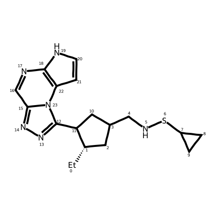 CC[C@H]1CC(CNSC2CC2)CC1c1nnc2cnc3[nH]ccc3n12